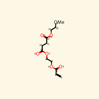 C=CC(=O)OCCOC(=O)CCC(=O)OCCOC